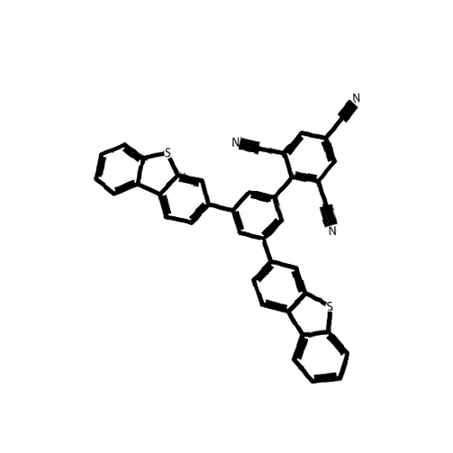 N#Cc1cc(C#N)c(-c2cc(-c3ccc4c(c3)sc3ccccc34)cc(-c3ccc4c(c3)sc3ccccc34)c2)c(C#N)c1